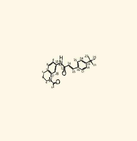 CC(=O)N1CCCc2ccc(NC(=O)C=Cc3ccc(C(C)(C)C)cc3)cc21